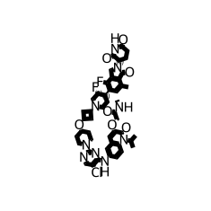 CNC(=O)COc1cc2cc(Nc3nc(N4CCC(O[C@H]5C[C@H](N6CC[C@H](c7cc(C)c8c(c7F)CN([C@H]7CCC(=O)NC7=O)C8=O)[C@H](F)C6)C5)CC4)ncc3Cl)ccc2n(C(C)C)c1=O